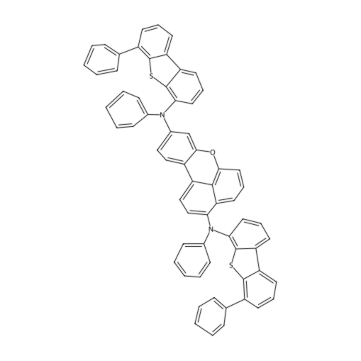 c1ccc(-c2cccc3c2sc2c(N(c4ccccc4)c4ccc5c(c4)Oc4cccc6c(N(c7ccccc7)c7cccc8c7sc7c(-c9ccccc9)cccc78)ccc-5c46)cccc23)cc1